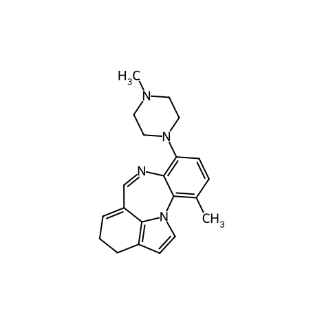 Cc1ccc(N2CCN(C)CC2)c2c1-n1ccc3c1C(=CCC3)C=N2